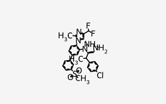 Cc1nc(C(F)F)cn1-c1ccc(-c2cccc(S(C)(=O)=O)c2)cc1N(N)/C(=C\N)C(C)c1ccc(Cl)cc1